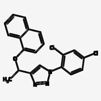 CC(Oc1cccc2ccccc12)c1cn(-c2ccc(Cl)cc2Cl)nn1